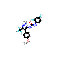 COc1ccc(-c2c(C(F)(F)F)nn(C)c2NC(=O)Nc2ccc(F)cc2F)cc1